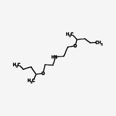 CCCC(C)OCCNCCOC(C)CCC